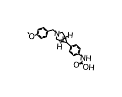 COc1ccc(CN2C[C@@H]3C(c4ccc(NC(=O)O)cc4)[C@@H]3C2)cc1